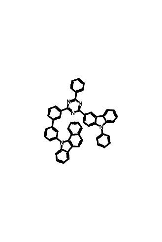 c1ccc(-c2nc(-c3cccc(-c4cccc(-n5c6ccccc6c6ccc7ccccc7c65)c4)c3)nc(-c3ccc4c(c3)c3ccccc3n4-c3ccccc3)n2)cc1